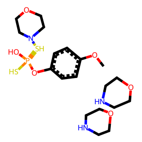 C1COCCN1.C1COCCN1.COc1ccc(OP(O)(S)=[SH]N2CCOCC2)cc1